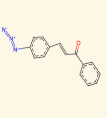 [N-]=[N+]=Nc1ccc(/C=C/C(=O)c2ccccc2)cc1